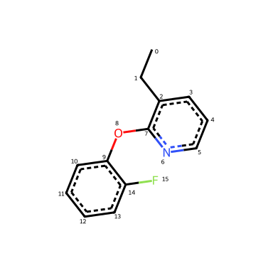 CCc1cccnc1Oc1ccccc1F